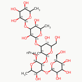 CCCO[C@@H]1OC(C)[C@H](O)C(O[C@H]2O[C@@H](CO)[C@@H](O)C(O)C2O)[C@@H]1O[C@@H]1OC(CO)[C@@H](O)C(O[C@@H]2OC(C)[C@H](O)C(O[C@@H]3OC(C)[C@H](O)C(O)[C@@H]3O)[C@@H]2O)[C@@H]1C